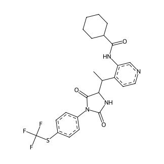 CC(c1ccncc1NC(=O)C1CCCCC1)C1NC(=O)N(c2ccc(SC(F)(F)F)cc2)C1=O